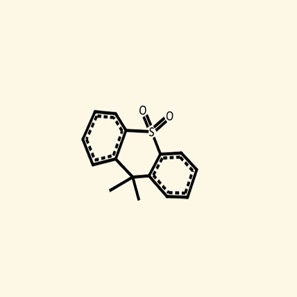 CC1(C)c2ccccc2S(=O)(=O)c2ccccc21